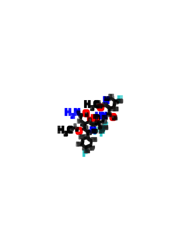 CCOc1c(CC(N)=O)cc([C@@](O)(CNC(=O)c2cc(F)cnc2OC)C(F)(F)F)nc1-c1ccc(F)cc1